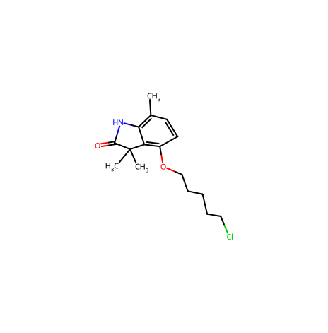 Cc1ccc(OCCCCCCl)c2c1NC(=O)C2(C)C